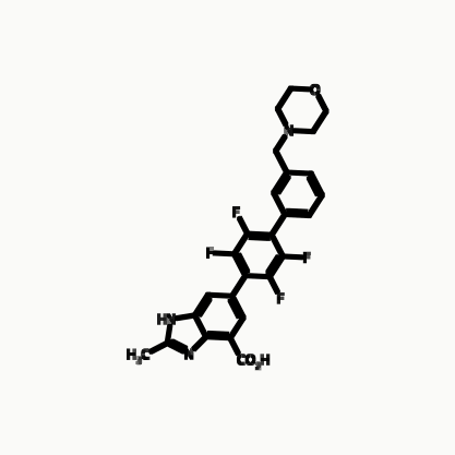 Cc1nc2c(C(=O)O)cc(-c3c(F)c(F)c(-c4cccc(CN5CCOCC5)c4)c(F)c3F)cc2[nH]1